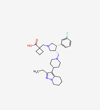 CCc1nn2c(c1C1CCN(C[C@@H]3CN(CC4(C(=O)O)CCC4)C[C@@H]3c3cccc(F)c3)CC1)CCCC2